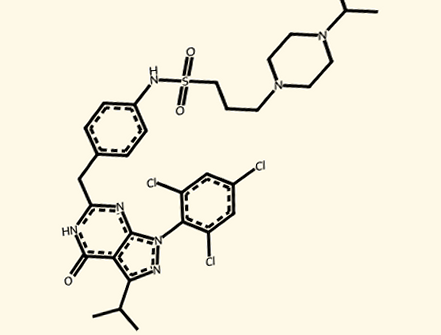 CC(C)c1nn(-c2c(Cl)cc(Cl)cc2Cl)c2nc(Cc3ccc(NS(=O)(=O)CCCN4CCN(C(C)C)CC4)cc3)[nH]c(=O)c12